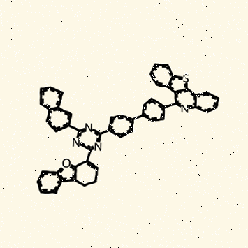 C1=C(c2nc(-c3ccc(-c4ccc(-c5nc6ccccc6c6sc7ccccc7c56)cc4)cc3)nc(-c3ccc4ccccc4c3)n2)c2oc3ccccc3c2CC1